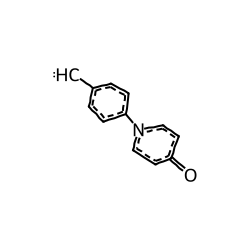 [CH]c1ccc(-n2ccc(=O)cc2)cc1